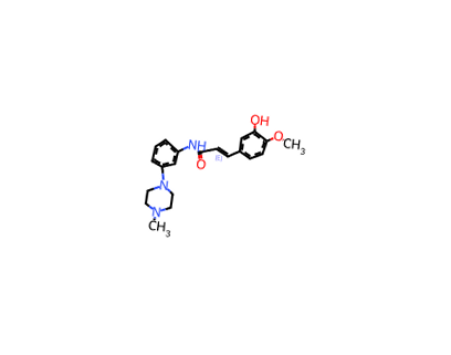 COc1ccc(/C=C/C(=O)Nc2cccc(N3CCN(C)CC3)c2)cc1O